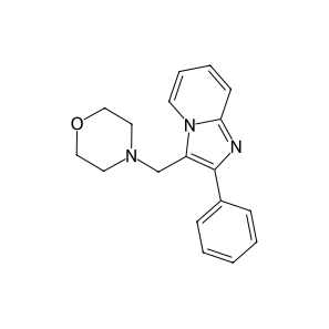 c1ccc(-c2nc3ccccn3c2CN2CCOCC2)cc1